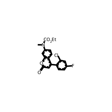 CCOC(=O)N(C)c1ccc2c(-c3ccc(F)cc3Cl)cc(=O)oc2c1